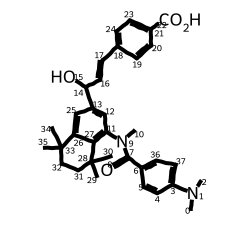 CN(C)c1ccc(C(=O)N(C)c2cc(C(O)C=Cc3ccc(C(=O)O)cc3)cc3c2C(C)(C)CCC3(C)C)cc1